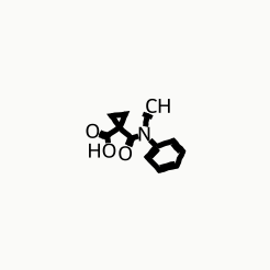 C#CN(C(=O)C1(C(=O)O)CC1)c1ccccc1